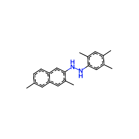 Cc1ccc2cc(NNc3cc(C)c(C)cc3C)c(C)cc2c1